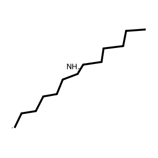 N.[CH2]CCCCCCCCCCCC